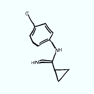 N=C(Nc1ccc(Cl)cc1)C1CC1